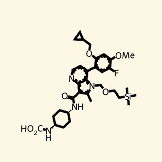 COc1cc(OCC2CC2)c(-c2ccnc3c(C(=O)N[C@H]4CC[C@H](NC(=O)O)CC4)c(C)n(COCC[Si](C)(C)C)c23)cc1F